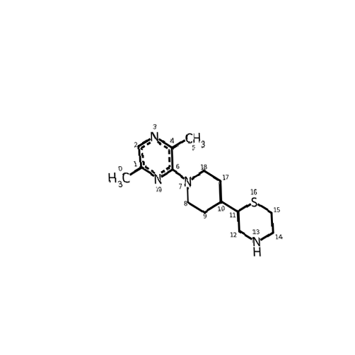 Cc1cnc(C)c(N2CCC(C3CNCCS3)CC2)n1